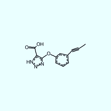 CC#Cc1cccc(Oc2nn[nH]c2C(=O)O)c1